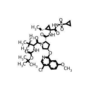 C=C[C@@H]1C[C@]1(NC(=O)[C@@H]1C[C@@H](Oc2ncc(Cl)c3ccc(OC)cc23)CN1C(=O)[C@@H](NC(=O)OC(C)(C)C)C(C)(C)C)C(=O)NS(=O)(=O)C1CC1